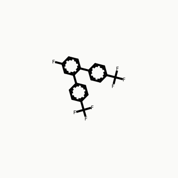 Fc1ccc(-c2ccc(C(F)(F)F)cc2)c(-c2ccc(C(F)(F)F)cc2)c1